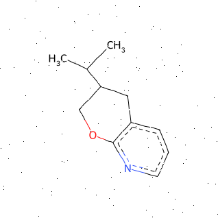 CC(C)C1COc2ncccc2C1